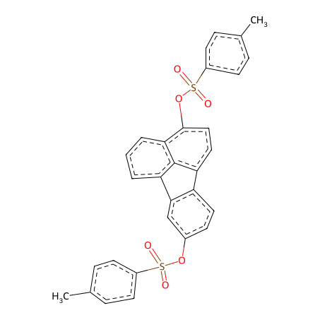 Cc1ccc(S(=O)(=O)Oc2ccc3c(c2)-c2cccc4c(OS(=O)(=O)c5ccc(C)cc5)ccc-3c24)cc1